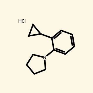 Cl.c1ccc(N2CCCC2)c(C2CC2)c1